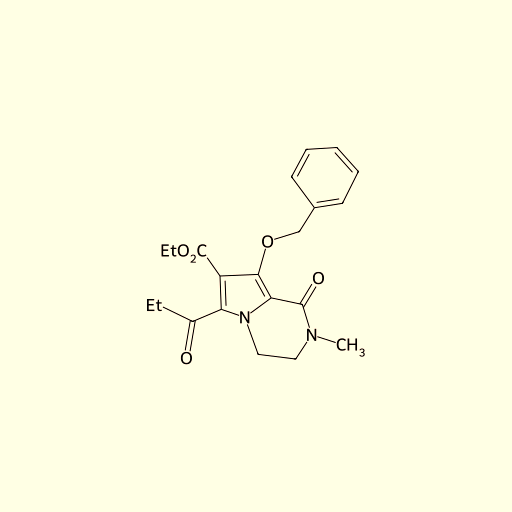 CCOC(=O)c1c(OCc2ccccc2)c2n(c1C(=O)CC)CCN(C)C2=O